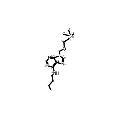 CCCCNc1ncnc2c1ncn2COCCS(C)(C)C